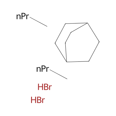 Br.Br.C1CC2CCC1CC2.CCCC.CCCC